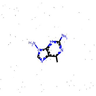 Cc1nc(N)nc2c1ncn2N